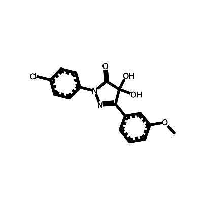 COc1cccc(C2=NN(c3ccc(Cl)cc3)C(=O)C2(O)O)c1